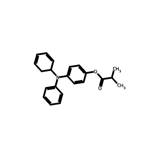 CC(C)C(=O)Oc1ccc(N(c2ccccc2)C2C=CC=CC2)cc1